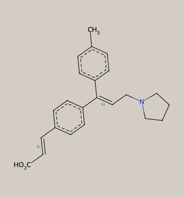 Cc1ccc(/C(=C\CN2CCCC2)c2ccc(/C=C/C(=O)O)cc2)cc1